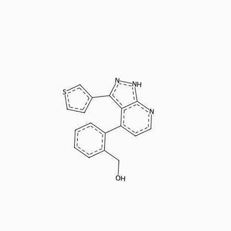 OCc1ccccc1-c1ccnc2[nH]nc(-c3ccsc3)c12